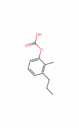 CCCc1cccc(OC(=O)O)c1C